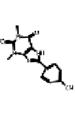 Cn1c(=O)c2[nH]c(-c3ccc(C#N)cc3)nc2n(C)c1=O